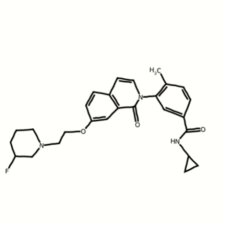 Cc1ccc(C(=O)NC2CC2)cc1-n1ccc2ccc(OCCN3CCCC(F)C3)cc2c1=O